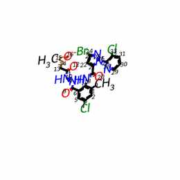 Cc1cc(Cl)cc(C(=O)NNC(=O)C[S+](C)[O-])c1NC(=O)c1cc(Br)nn1-c1ncccc1Cl